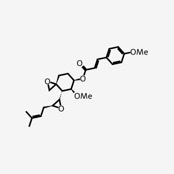 COc1ccc(/C=C/C(=O)O[C@@H]2CC[C@]3(CO3)[C@@H](C3O[C@H]3CC=C(C)C)[C@@H]2OC)cc1